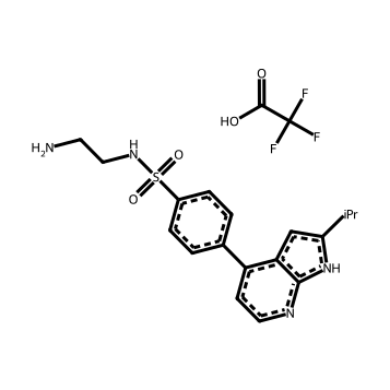 CC(C)c1cc2c(-c3ccc(S(=O)(=O)NCCN)cc3)ccnc2[nH]1.O=C(O)C(F)(F)F